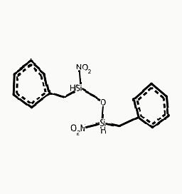 O=[N+]([O-])[SiH](Cc1ccccc1)O[SiH](Cc1ccccc1)[N+](=O)[O-]